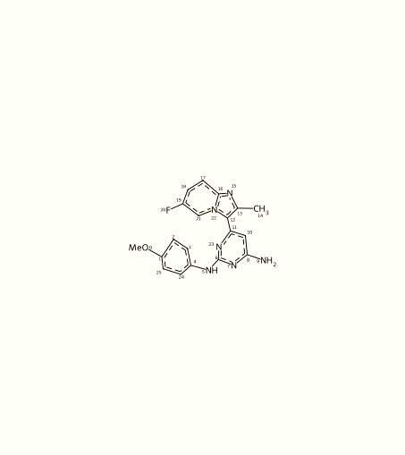 COc1ccc(Nc2nc(N)cc(-c3c(C)nc4ccc(F)cn34)n2)cc1